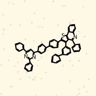 c1ccc(-c2cccc(-c3c(-c4ccc(-c5ccc(-c6cc(-c7ccccc7)nc(-c7ccccc7)n6)cc5)cc4)sc4c3c(-c3ccccc3)nc3ccccc34)c2)cc1